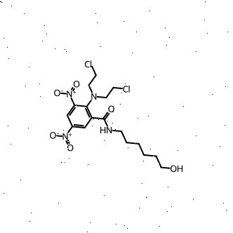 O=C(NCCCCCCO)c1cc([N+](=O)[O-])cc([N+](=O)[O-])c1N(CCCl)CCCl